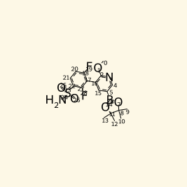 COc1ncc(B2OC(C)(C)C(C)(C)O2)cc1-c1c(F)ccc(S(N)(=O)=O)c1F